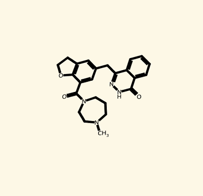 CN1CCCN(C(=O)c2cc(Cc3n[nH]c(=O)c4ccccc34)cc3c2OCC3)CC1